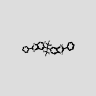 FC(F)(F)C(c1ccc2oc(-c3ccccc3)nc2c1)(c1ccc2oc(-c3ccccc3)nc2c1)C(F)(F)F